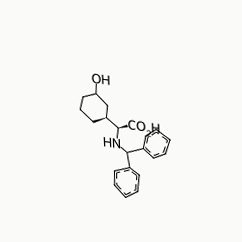 O=C(O)[C@@H](NC(c1ccccc1)c1ccccc1)[C@H]1CCCC(O)C1